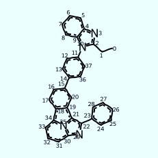 CCc1nc2ccccc2n1-c1ccc(-c2ccc3c(c2)c2c(-c4ccccc4)nc4cccc3n42)cc1